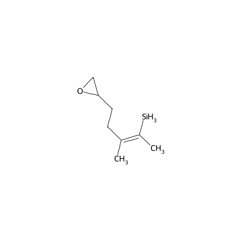 CC([SiH3])=C(C)CCC1CO1